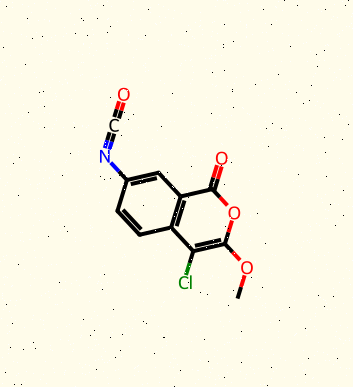 COc1oc(=O)c2cc(N=C=O)ccc2c1Cl